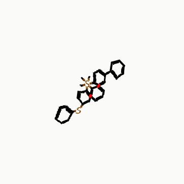 CS(C)(C)(c1ccccc1)(c1ccc(Sc2ccccc2)cc1)c1ccc(-c2ccccc2)cc1